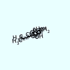 CCCCCCn1c(=O)c(OC/C=C(\C)CCC=C(C)C)c(O)c2ccc(N)cc21